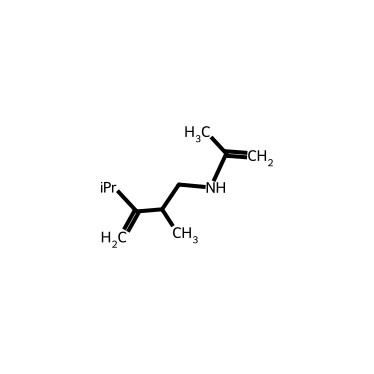 C=C(C)NCC(C)C(=C)C(C)C